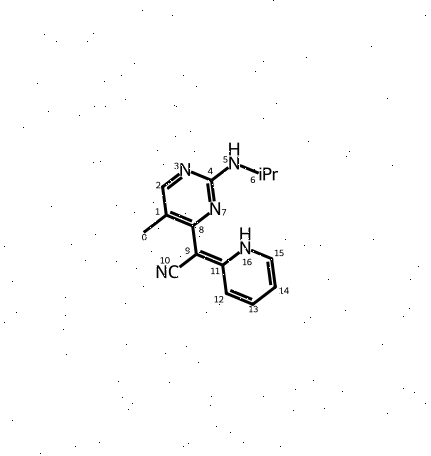 Cc1cnc(NC(C)C)nc1/C(C#N)=C1/C=CC=CN1